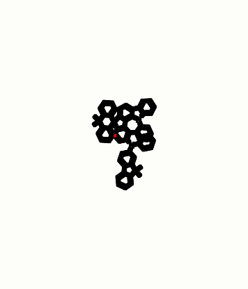 CC1(C)c2ccccc2-c2ccc(N(c3ccccc3)c3ccc4c5c3-c3ccccc3-n3c6ccccc6c6ccc(c-5c63)C43c4ccccc4C(C)(C)c4ccccc43)cc21